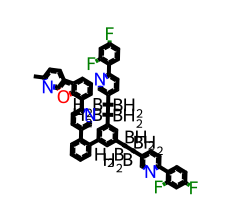 BC(B)(c1ccc(-c2ccc(F)cc2F)nc1)C(B)(B)c1cc(-c2ccccc2-c2ccc(-c3cccc4c3oc3nc(C)ccc34)nc2)cc(C(B)(B)C(B)(B)c2ccc(-c3ccc(F)cc3F)nc2)c1